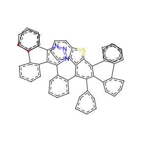 c1ccc(-c2ccccc2-c2c(-c3ccccc3)nnnc2-c2ccccc2-c2c(-c3ccccc3)c(-c3ccccc3-c3ccccc3)c(-c3ccccc3)c3sc4ccccc4c23)cc1